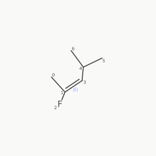 C/C(F)=C\C(C)C